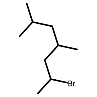 CC(C)CC(C)CC(C)Br